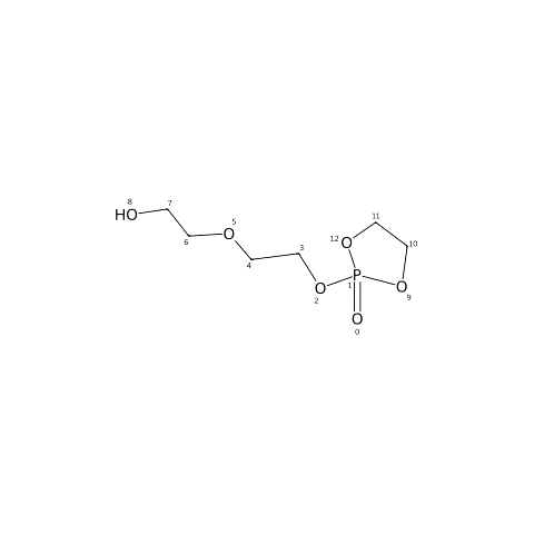 O=P1(OCCOCCO)OCCO1